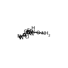 CCn1c(=O)c(-c2ccc(-c3cncc(C)n3)cc2Cl)cc2cnc(NCCCOCCCN)nc21